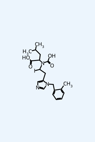 Cc1ccccc1Cn1cncc1CC(I)N(C(=O)O)C(CC(C)C)C(=O)O